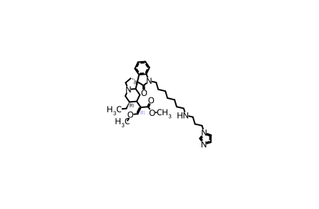 CC[C@H]1CN2CC[C@]3(C(=O)N(CCCCCCCNCCCn4ccnc4)c4ccccc43)C2CC1/C(=C\OC)C(=O)OC